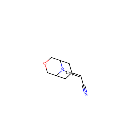 CN1C2COCC1CC(=CC#N)C2